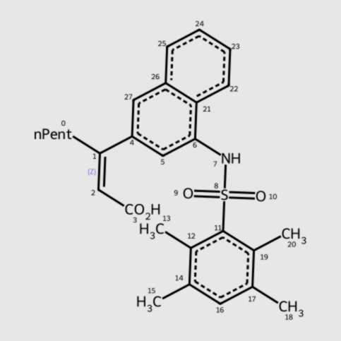 CCCCC/C(=C/C(=O)O)c1cc(NS(=O)(=O)c2c(C)c(C)cc(C)c2C)c2ccccc2c1